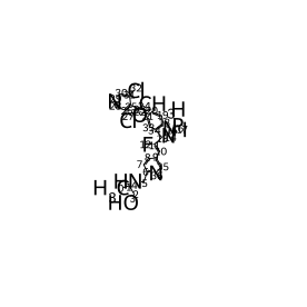 CC(CO)NCc1ccc(/C=C(\F)c2nn(PI)c3ccc(OC(C)c4c(Cl)cncc4Cl)cc23)cn1